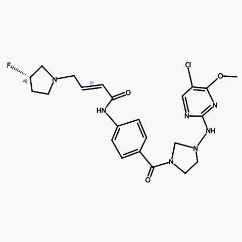 COc1nc(NN2CCN(C(=O)c3ccc(NC(=O)/C=C/CN4CC[C@H](F)C4)cc3)C2)ncc1Cl